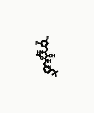 CC(=O)N[C@@H](Cc1cc(F)cc(F)c1)C(O)CNCc1cccc(CC(C)(C)C)n1